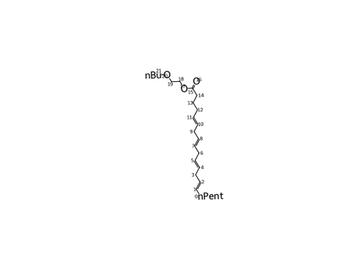 CCCCCC=CCC=CCC=CCC=CCCCC(=O)OCCOCCCC